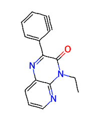 CCn1c(=O)c(-c2c#cccc2)nc2cccnc21